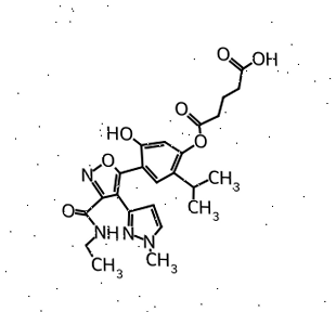 CCNC(=O)c1noc(-c2cc(C(C)C)c(OC(=O)CCCC(=O)O)cc2O)c1-c1ccn(C)n1